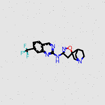 FC(F)(F)c1ccc2cnc(NC3=NOC4(C3)CN3CCC4CC3)nc2c1